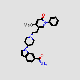 COc1cc(=O)n(-c2ccccc2)cc1CCN1CCC(n2ccc3ccc(C(N)=O)cc32)CC1